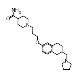 NC(=O)C1CCN(CCCOc2ccc3c(c2)CCC(CN2CCCC2)C3)CC1